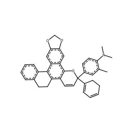 Cc1cc(C2(C3=CC=CCC3)C=Cc3c4c(c5cc6c(cc5c3O2)OCO6)-c2ccccc2CC4)ccc1N(C)C